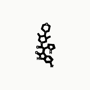 CC1CN(C(=O)/C(=C2\C(=O)Nc3cc(Br)ccc32)c2ccc[nH]2)CC(C)C1N1CCOCC1